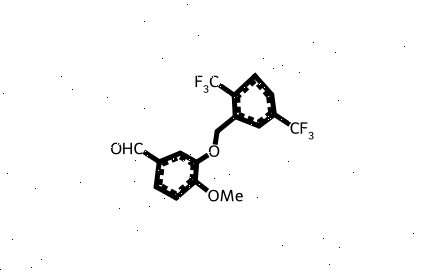 COc1ccc(C=O)cc1OCc1cc(C(F)(F)F)ccc1C(F)(F)F